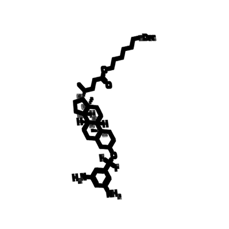 CCCCCCCCCCCCCCCCOC(=O)CCC(C)[C@H]1CC[C@H]2[C@@H]3CCC4CC(OC(F)(F)c5cc(N)cc(N)c5)CC[C@]4(C)[C@H]3CC[C@]12C